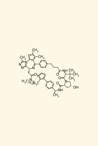 Cc1ncsc1-c1ccc([C@H](C)NC(=O)[C@@H]2C[C@@H](O)CN2C(=O)[C@@H](NC(=O)CCCc2ccc(C3=N[C@@H](CC(=O)N(C)C)c4nnc(C)n4-c4sc(C)c(C)c43)cc2)C(C)(C)C)cc1